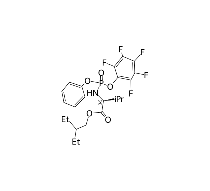 CCC(CC)COC(=O)[C@@H](NP(=O)(Oc1ccccc1)Oc1c(F)c(F)c(F)c(F)c1F)C(C)C